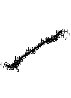 CCOC(=O)/C(C)=C/c1cc(F)c(Oc2ccc(S(=O)(=O)NCCOCCOCCOCCNC(=O)NOCCOCCOCCNS(=O)(=O)c3ccc(Oc4c(F)cc(/C=C(\C)C(=O)OCC)cc4F)cc3)cc2)c(F)c1